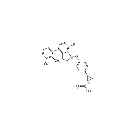 C=C(O)[C@H]1C[C@@H]1c1ccc(O[C@@H]2CCc3c(-c4cccc(C#N)c4C)ccc(F)c32)cc1